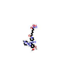 COc1cc2nc(N3CCCN(C)CC3)nc(NC3CCN(C(=O)CCCCCC(=O)NO)CC3)c2cc1OC